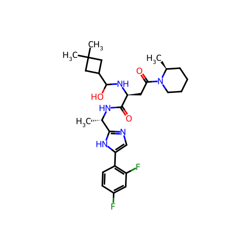 C[C@H](NC(=O)[C@H](CC(=O)N1CCCC[C@@H]1C)NC(O)C1CC(C)(C)C1)c1ncc(-c2ccc(F)cc2F)[nH]1